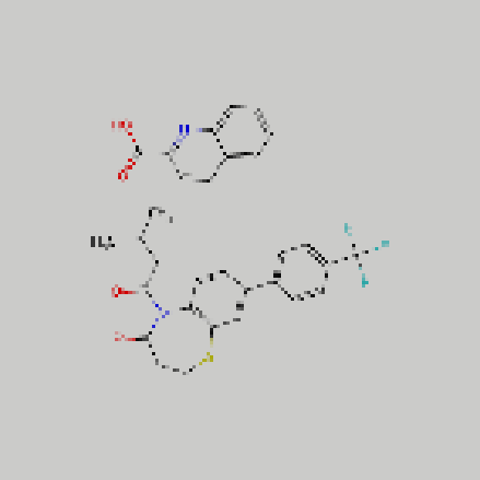 CC(C)CC(=O)N1C(=O)CCSc2cc(-c3ccc(C(F)(F)F)cc3)ccc21.O=C(O)c1ccc2ccccc2n1